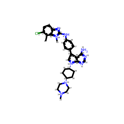 Cc1c(Cl)ccc2nc(Nc3ccc(-c4cn([C@H]5CC[C@@H](N6CCN(C)CC6)CC5)c5ncnc(N)c45)cc3)n(C)c12